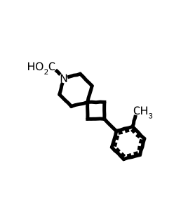 Cc1ccccc1C1CC2(CCN(C(=O)O)CC2)C1